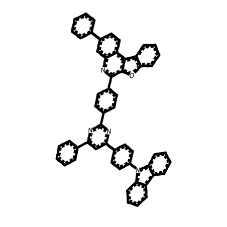 c1ccc(-c2ccc3c(c2)nc(-c2ccc(-c4nc(-c5ccccc5)cc(-c5ccc(-n6c7ccccc7c7ccccc76)cc5)n4)cc2)c2oc4ccccc4c23)cc1